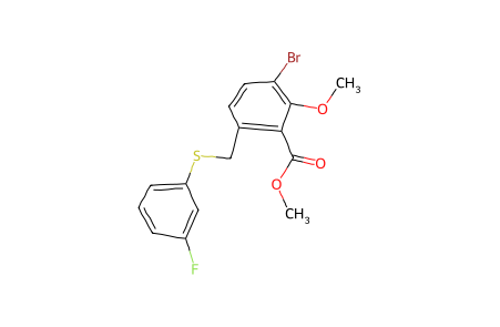 COC(=O)c1c(CSc2cccc(F)c2)ccc(Br)c1OC